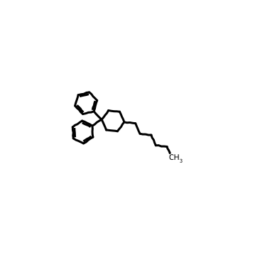 CCCCCCC1CCC(c2ccccc2)(c2ccccc2)CC1